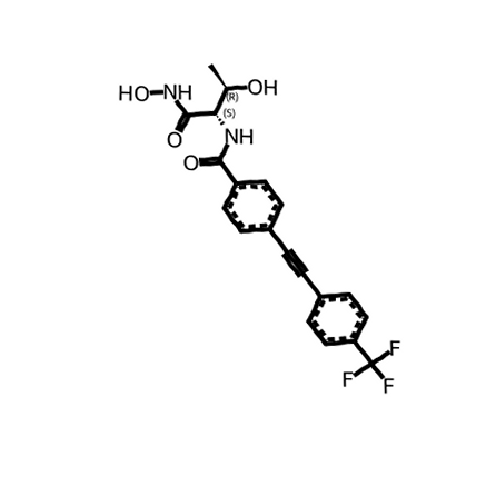 C[C@@H](O)[C@H](NC(=O)c1ccc(C#Cc2ccc(C(F)(F)F)cc2)cc1)C(=O)NO